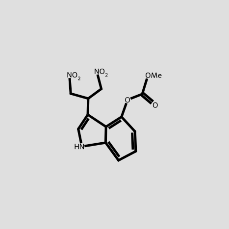 COC(=O)Oc1cccc2[nH]cc(C(C[N+](=O)[O-])C[N+](=O)[O-])c12